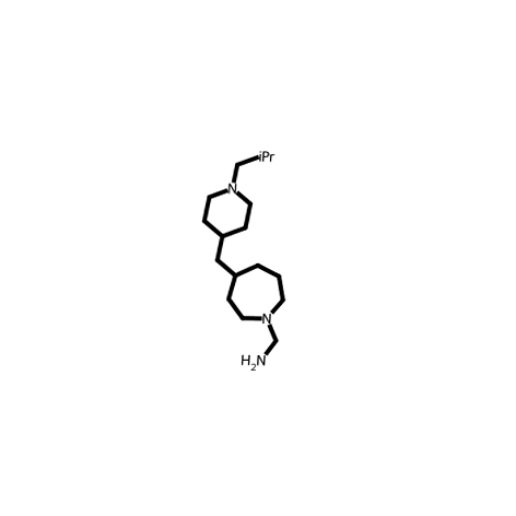 CC(C)CN1CCC(CC2CCCN(CN)CC2)CC1